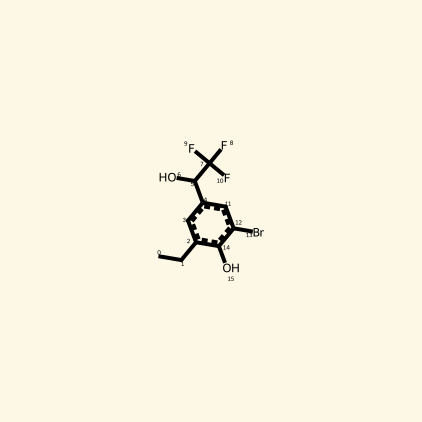 CCc1cc(C(O)C(F)(F)F)cc(Br)c1O